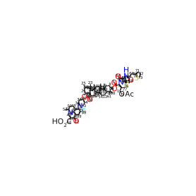 CC(=O)OCC1=C(C(=O)O[C@H]2CC[C@@]3(C)C(CC[C@]4(C)[C@@H]3CC=C3[C@@H]5[C@@H](C)[C@H](C)CC[C@]5(C(=O)OC5CCN(c6c(F)cc7c(=O)c(C(=O)O)cn8c7c6CCC8C)CC5)CC[C@]34C)C2(C)C)N2C(=O)[C@@H](NC(=O)Cc3cccs3)[C@H]2SC1